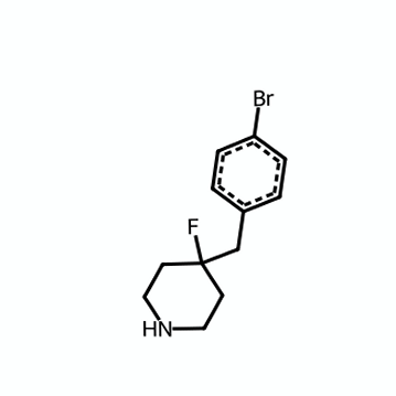 FC1(Cc2ccc(Br)cc2)CCNCC1